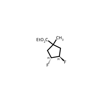 CCOC(=O)C1(C)C[C@@H](F)[C@H](F)C1